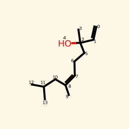 C=CC(C)(O)CCC=C(C)CC(C)C